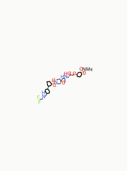 CNS(=O)(=O)c1cccc(OCC(O)CNC2COC3(CCN(S(=O)(=O)c4cccc(-c5ccc(CNCC(F)F)cc5)c4)CC3)C2)c1